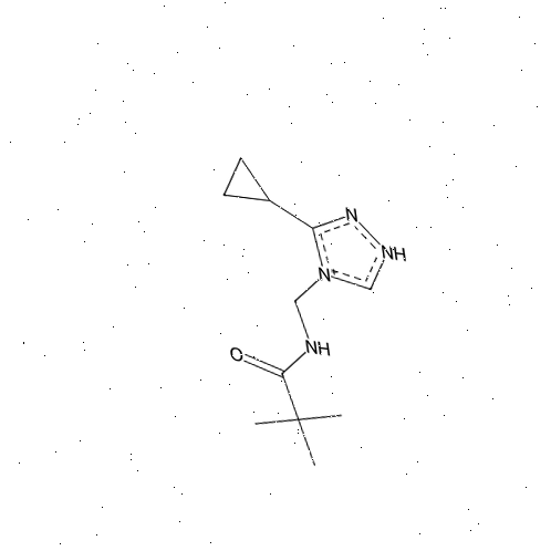 CC(C)(C)C(=O)NC[n+]1c[nH]nc1C1CC1